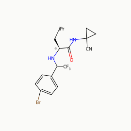 CC(C)C[C@H](NC(c1ccc(Br)cc1)C(F)(F)F)C(=O)NC1(C#N)CC1